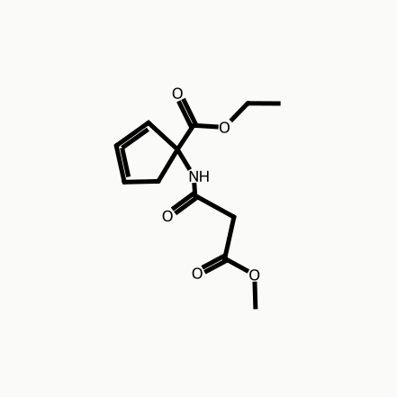 CCOC(=O)C1(NC(=O)CC(=O)OC)C=C=CC1